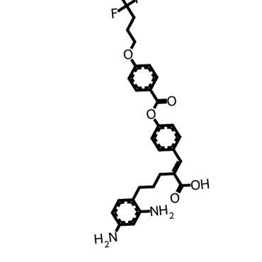 Nc1ccc(CCC/C(=C\c2ccc(OC(=O)c3ccc(OCCCC(F)(F)F)cc3)cc2)C(=O)O)c(N)c1